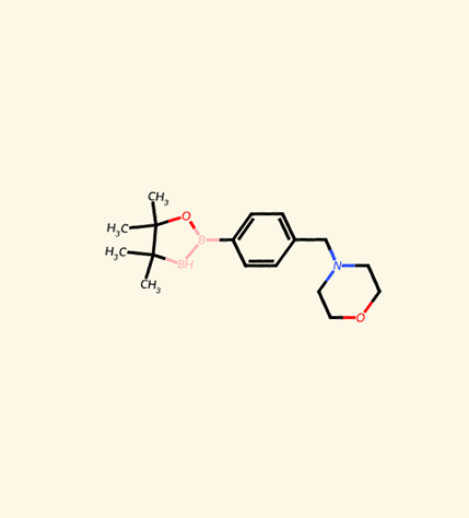 CC1(C)BB(c2ccc(CN3CCOCC3)cc2)OC1(C)C